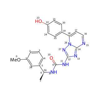 COc1cccc([C@H](C)NC(=O)Nc2nc3nccc(-c4ccc(O)cc4)n3n2)c1